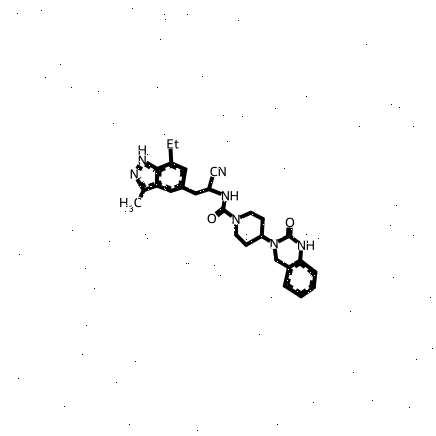 CCc1cc(CC(C#N)NC(=O)N2CCC(N3Cc4ccccc4NC3=O)CC2)cc2c(C)n[nH]c12